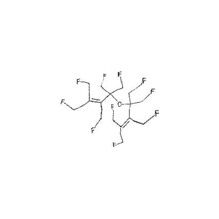 FCC(CF)=C(CF)C(CF)(CF)OC(CF)(CF)C(CF)=C(CF)CF